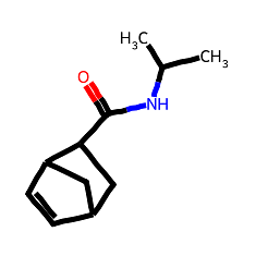 CC(C)NC(=O)C1CC2C=CC1C2